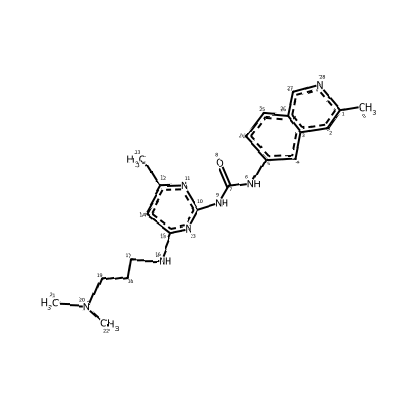 Cc1cc2cc(NC(=O)Nc3nc(C)cc(NCCCN(C)C)n3)ccc2cn1